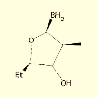 B[C@@H]1O[C@H](CC)C(O)[C@@H]1C